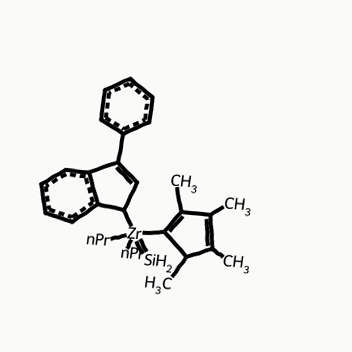 CC[CH2][Zr](=[SiH2])([CH2]CC)([C]1=C(C)C(C)=C(C)C1C)[CH]1C=C(c2ccccc2)c2ccccc21